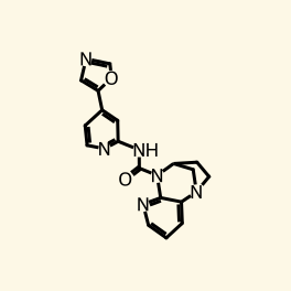 O=C(Nc1cc(-c2cnco2)ccn1)N1c2ncccc2N2CCC1C2